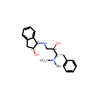 CC(C)(C)N(C(=O)O)[C@@H](Cc1ccccc1)[C@H](O)CN[C@@H]1c2ccccc2C[C@@H]1O